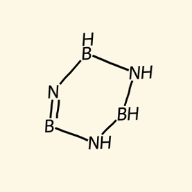 B1=NBNBN1